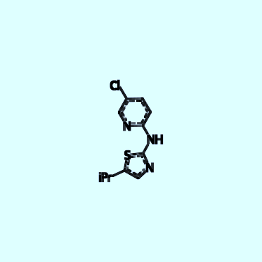 CC(C)c1cnc(Nc2ccc(Cl)cn2)s1